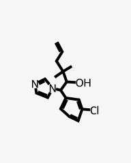 C=CCC(C)(C)C(O)C(c1cccc(Cl)c1)n1ccnc1